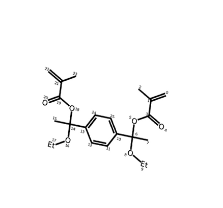 C=C(C)C(=O)OC(C)(OCC)c1ccc(C(C)(OCC)OC(=O)C(=C)C)cc1